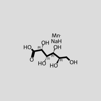 O=C(O)[C@H](O)[C@@H](O)[C@H](O)[C@H](O)CO.[Mn].[NaH]